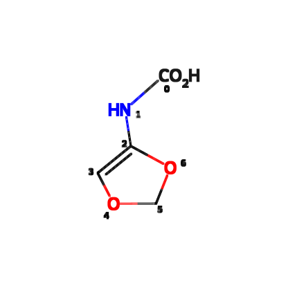 O=C(O)NC1=COCO1